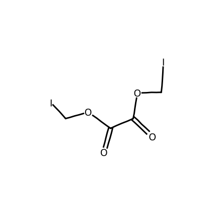 O=C(OCI)C(=O)OCI